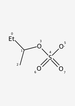 CCC(C)OS([O])(=O)=O